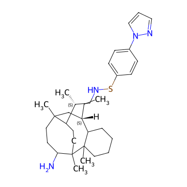 CC[C@H]1CC2(C)CCC(N)C(C)(CCC2[C@H](C)CNSc2ccc(-n3cccn3)cc2)C2(C)CCCCC12